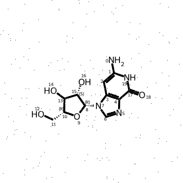 Nc1cc2c(ncn2[C@@H]2O[C@H](CO)C(O)[C@@H]2O)c(=O)[nH]1